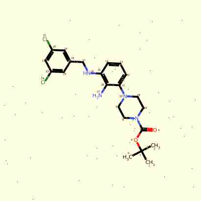 CC(C)(C)OC(=O)N1CCN(c2cccc(NCc3cc(Cl)cc(Cl)c3)c2N)CC1